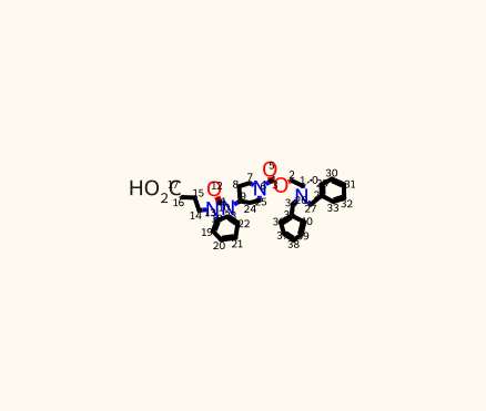 C[C@@H](COC(=O)N1CCC(n2c(=O)n(CCCC(=O)O)c3ccccc32)CC1)N(Cc1ccccc1)Cc1ccccc1